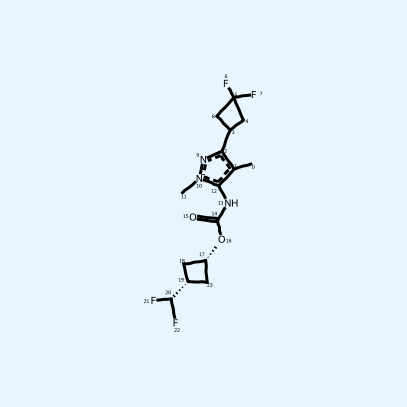 Cc1c(C2CC(F)(F)C2)nn(C)c1NC(=O)O[C@H]1C[C@@H](C(F)F)C1